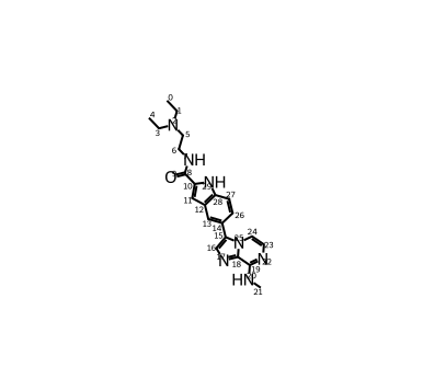 CCN(CC)CCNC(=O)c1cc2cc(-c3cnc4c(NC)nccn34)ccc2[nH]1